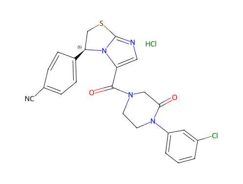 Cl.N#Cc1ccc([C@H]2CSc3ncc(C(=O)N4CCN(c5cccc(Cl)c5)C(=O)C4)n32)cc1